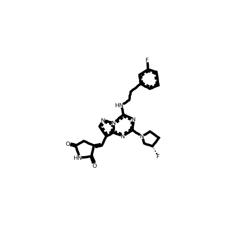 O=C1C/C(=C\c2cnn3c(NCCc4cccc(F)c4)nc(N4CC[C@H](F)C4)nc23)C(=O)N1